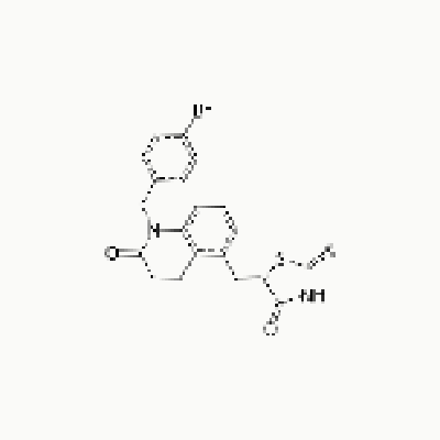 O=C1NC(=S)SC1=Cc1cccc2c1CCC(=O)N2Cc1ccc(Br)cc1